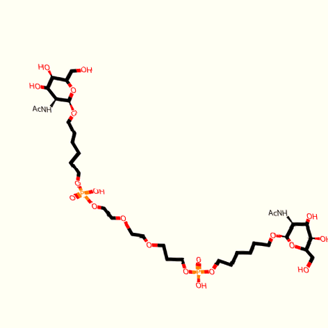 CC(=O)N[C@H]1C(O)[C@@H](O)C(CO)O[C@H]1OCCCCCCOP(=O)(O)OCCCOCCOCCOP(=O)(O)OCCCCCCO[C@@H]1OC(CO)[C@H](O)C(O)[C@@H]1NC(C)=O